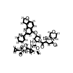 C=C[C@@H]1C[C@]1(NC(=O)[C@@H]1C[C@@H](Oc2cc(-c3ccccn3)nc3c4c(ccc23)OCC4)CN1C(=O)[C@@H](CC(=O)N1CCOCC1)C(C)(C)C)C(=O)NS(=O)(=O)C1CC1